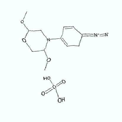 COC1CN(C2=CCC(=[N+]=[N-])C=C2)C(OC)CO1.[O]=[Cr](=[O])([OH])[OH]